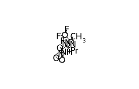 Cc1cnc2c(C(C)C)c(C(=O)NN3CCOc4ccccc43)nn2c1-c1cc(F)cc(F)c1F